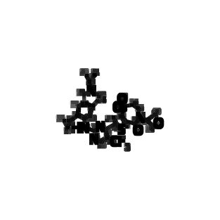 O=C1c2sc(-c3nc(Nc4cc5c(cc4C4CC4)CN(C4CC4)CC5)ncc3C(F)(F)F)cc2S(=O)(=O)CCN1C1COC1